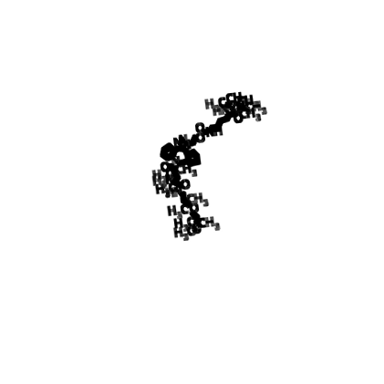 COC(C)(C)CCOC(C)(C)CCNC(=O)C(C)(N)CC(C)(C)C(=O)N1Cc2ccccc2-c2c(nnn2CCOC(=O)NCCCCC(NC(C)(C)C)C(=O)OC(C)(C)C)-c2ccccc21